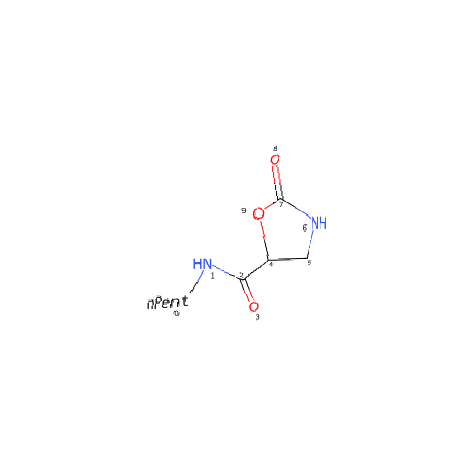 CCCCCNC(=O)C1CNC(=O)O1